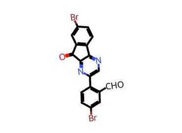 O=Cc1cc(Br)ccc1-c1cnc2c(n1)C(=O)c1cc(Br)ccc1-2